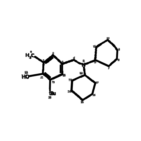 Cc1cc(CN(C2CCCCC2)C2CCCCC2)cc(C(C)(C)C)c1O